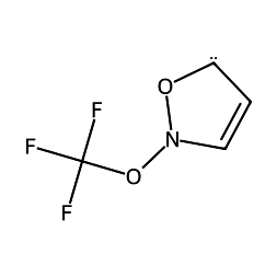 FC(F)(F)ON1C=C[C]O1